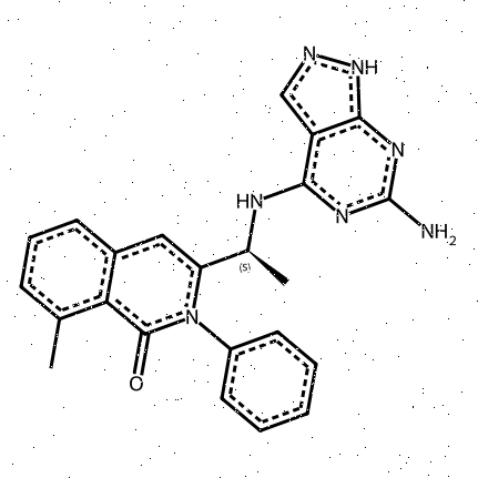 Cc1cccc2cc([C@H](C)Nc3nc(N)nc4[nH]ncc34)n(-c3ccccc3)c(=O)c12